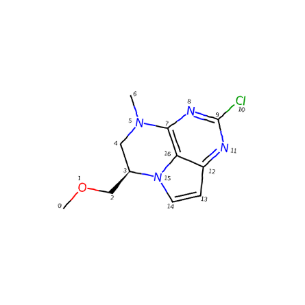 COC[C@H]1CN(C)c2nc(Cl)nc3ccn1c23